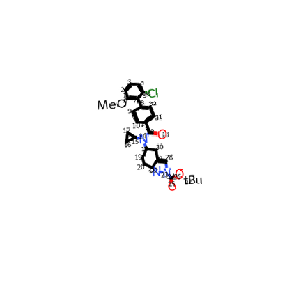 COc1cccc(Cl)c1-c1ccc(C(=O)N(C2CC2)C2CCc3nn(C(=O)OC(C)(C)C)cc3C2)cc1